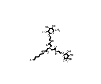 CC(=O)CCCCCNC(=O)CN(CC(=O)NCCO[C@@H]1O[C@@H](C)[C@@H](O)[C@@H](O)[C@@H]1O)CC(=O)NCCO[C@@H]1O[C@@H](C)[C@@H](O)[C@@H](O)[C@@H]1O